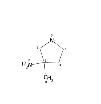 CC1(N)CC[N]C1